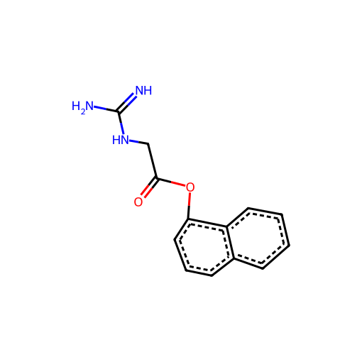 N=C(N)NCC(=O)Oc1cccc2ccccc12